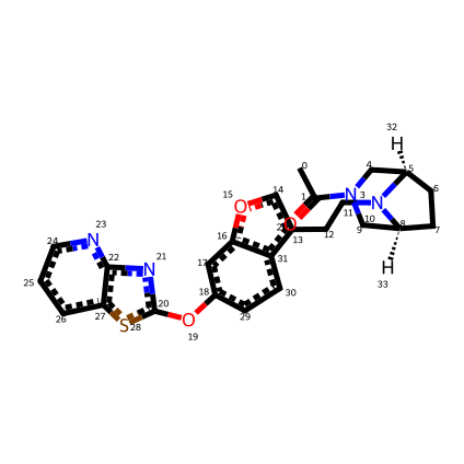 CC(=O)N1C[C@H]2CC[C@@H](C1)N2CCc1coc2cc(Oc3nc4ncccc4s3)ccc12